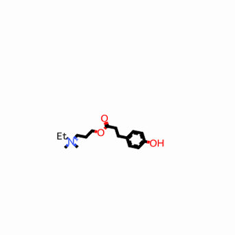 CC[N+](C)(C)CCCOC(=O)CCc1ccc(O)cc1